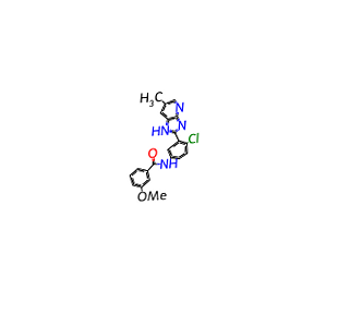 COc1cccc(C(=O)Nc2ccc(Cl)c(-c3nc4ncc(C)cc4[nH]3)c2)c1